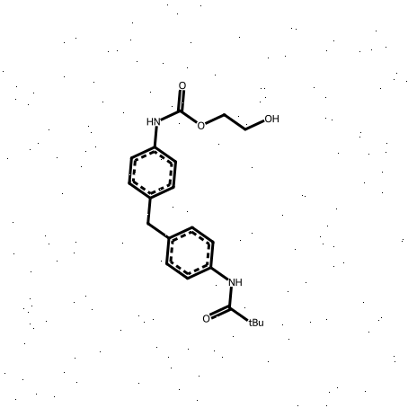 CC(C)(C)C(=O)Nc1ccc(Cc2ccc(NC(=O)OCCO)cc2)cc1